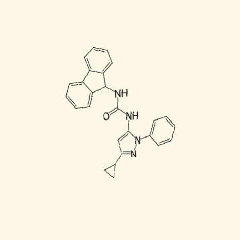 O=C(Nc1cc(C2CC2)nn1-c1ccccc1)NC1c2ccccc2-c2ccccc21